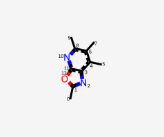 Cc1nc2c(C)c(C)c(C)nc2o1